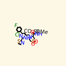 CCOC(=O)C1=C(CN2CCS(=O)(=O)CC2C(=O)NOC)NC(c2nccs2)=NC1c1ccc(F)cc1Cl